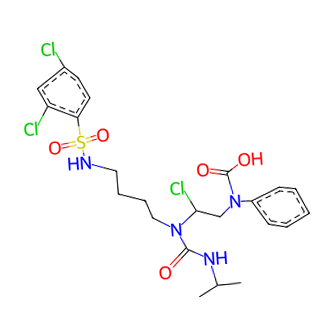 CC(C)NC(=O)N(CCCCNS(=O)(=O)c1ccc(Cl)cc1Cl)C(Cl)CN(C(=O)O)c1ccccc1